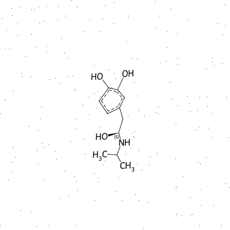 CC(C)N[C@@H](O)Cc1ccc(O)c(O)c1